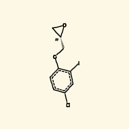 Clc1ccc(OC[C@@H]2CO2)c(I)c1